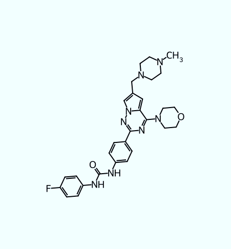 CN1CCN(Cc2cc3c(N4CCOCC4)nc(-c4ccc(NC(=O)Nc5ccc(F)cc5)cc4)nn3c2)CC1